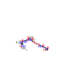 CC(=O)Nc1cc(C(=O)NCCCOC(=O)[C@H](C)NC(=O)CCOCCOCCNC(=O)CCN2C(=O)C=CC2=O)n(C)c1